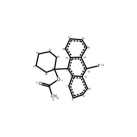 CC(=O)OC1(c2c3ccccc3c(F)c3ccccc23)CCCCC1